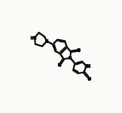 O=C1c2ccc(N3CCNCC3)cc2C(=O)N1c1ccc(=O)[nH]c1